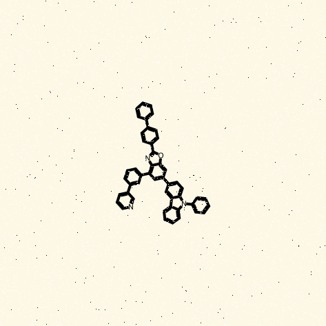 c1ccc(-c2ccc(-c3nc4c(-c5cccc(-c6cccnc6)c5)cc(-c5ccc6c(c5)c5ccccc5n6-c5ccccc5)cc4o3)cc2)cc1